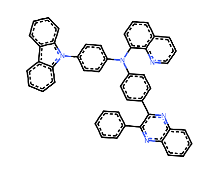 c1ccc(-c2nc3ccccc3nc2-c2ccc(N(c3ccc(-n4c5ccccc5c5ccccc54)cc3)c3cccc4cccnc34)cc2)cc1